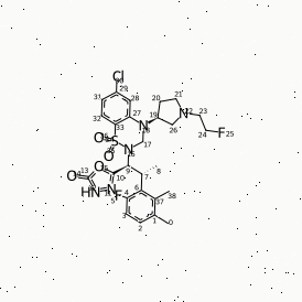 Cc1ccc(F)c([C@@H](C)[C@@H](c2n[nH]c(=O)o2)N2CN([C@H]3CCN(CCF)C3)c3cc(Cl)ccc3S2(=O)=O)c1C